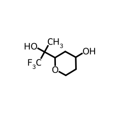 CC(O)(C1CC(O)CCO1)C(F)(F)F